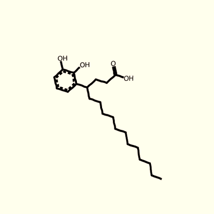 CCCCCCCCCCCCC(CCC(=O)O)c1cccc(O)c1O